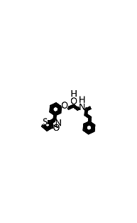 CC(CCc1ccccc1)NCC(O)COc1cccc(-c2noc3ccsc23)c1